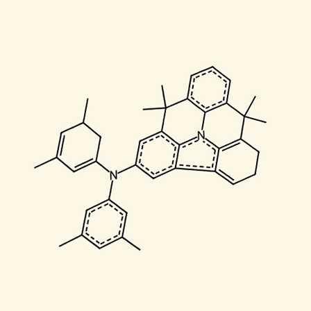 CC1=CC(C)CC(N(c2cc(C)cc(C)c2)c2cc3c4c(c2)c2c5n4-c4c(cccc4C3(C)C)C(C)(C)C=5CCC=2)=C1